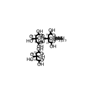 N.N.N.O=C(O)CC(O)(CC(=O)O)C(=O)O.O=C(O)CC(O)(CC(=O)O)C(=O)O.O=C(O)CC(O)(CC(=O)O)C(=O)O.S